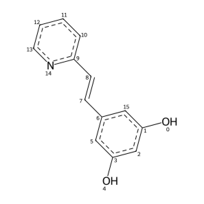 Oc1cc(O)cc(/C=C/c2ccccn2)c1